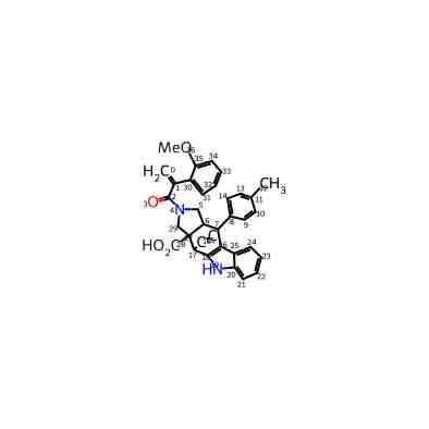 C=C(C(=O)N1CC2C3(c4ccc(C)cc4)CCC(c4[nH]c5ccccc5c43)C2(C(=O)O)C1)c1ccccc1OC